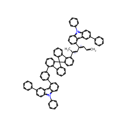 C=C/C=C(\C=C(/C)c1cccc2c1-c1ccccc1C21c2ccccc2-c2c(-c3cccc(-c4cccc5c4c4cc(-c6ccccc6)ccc4n5-c4ccccc4)c3)cccc21)c1cccc2c1c1cc(-c3ccccc3)ccc1n2-c1ccccc1